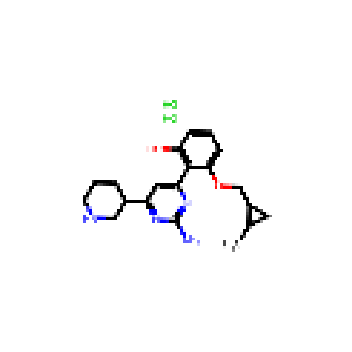 CC1CC1COc1cccc(O)c1-c1cc(C2CCCNC2)nc(N)n1.Cl.Cl